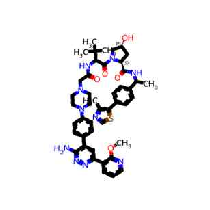 COc1ncccc1-c1cc(-c2ccc(N3CCN(CC(=O)NC(C(=O)N4C[C@H](O)C[C@H]4C(=O)NC(C)c4ccc(-c5scnc5C)cc4)C(C)(C)C)CC3)cc2)c(N)nn1